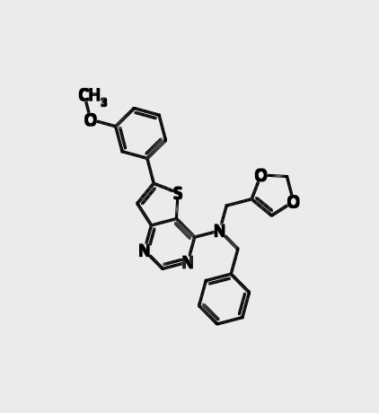 COc1cccc(-c2cc3ncnc(N(CC4=COCO4)Cc4ccccc4)c3s2)c1